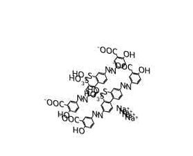 O=C([O-])c1cc(N=Nc2ccc(-c3ccc(N=Nc4ccc(O)c(C(=O)[O-])c4)cc3S(=O)(=O)O)c(S(=O)(=O)O)c2)ccc1O.O=C([O-])c1cc(N=Nc2ccc(-c3ccc(N=Nc4ccc(O)c(C(=O)[O-])c4)cc3S(=O)(=O)O)c(S(=O)(=O)O)c2)ccc1O.[Na+].[Na+].[Na+].[Na+]